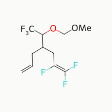 C=CCC(CC(F)=C(F)F)C(OCOC)C(F)(F)F